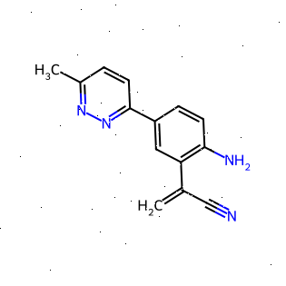 C=C(C#N)c1cc(-c2ccc(C)nn2)ccc1N